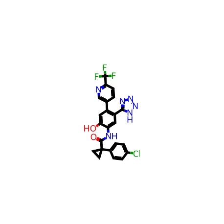 O=C(Nc1cc(-c2nnn[nH]2)c(-c2ccc(C(F)(F)F)nc2)cc1O)C1(c2ccc(Cl)cc2)CC1